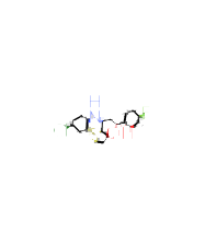 OC(CC(Nc1ccc(Cl)cc1)c1cccs1)c1ccc(F)cc1